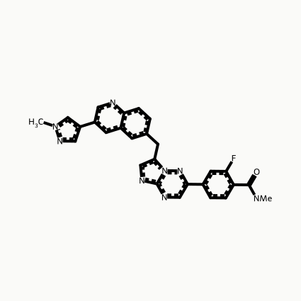 CNC(=O)c1ccc(-c2cnc3ncc(Cc4ccc5ncc(-c6cnn(C)c6)cc5c4)n3n2)cc1F